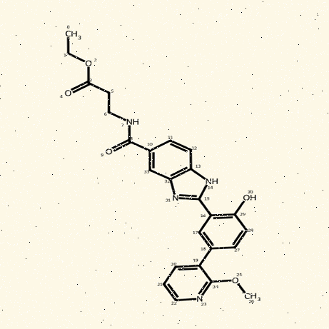 CCOC(=O)CCNC(=O)c1ccc2[nH]c(-c3cc(-c4cccnc4OC)ccc3O)nc2c1